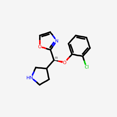 Clc1ccccc1O[C@H](c1ncco1)C1CCNC1